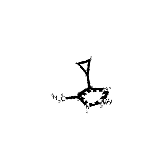 [CH2]c1n[nH]nc1C1CC1